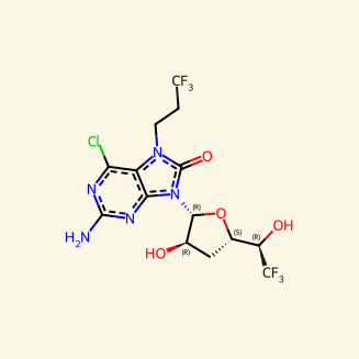 Nc1nc(Cl)c2c(n1)n([C@@H]1O[C@H]([C@@H](O)C(F)(F)F)C[C@H]1O)c(=O)n2CCC(F)(F)F